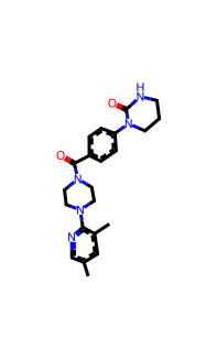 Cc1cnc(N2CCN(C(=O)c3ccc(N4CCCNC4=O)cc3)CC2)c(C)c1